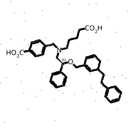 O=C(O)CCCCN(Cc1ccc(C(=O)O)cc1)C[C@@H](OCC1=CC(CCc2ccccc2)CC=C1)c1ccccc1